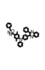 Cc1cc(N(c2ccccc2)c2ccc(-c3nc4ccccc4nc3-c3ccccc3)cc2)c(C)cc1-c1nnc(-c2ccccc2)o1